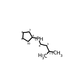 CC(C)CCPC1CCCC1